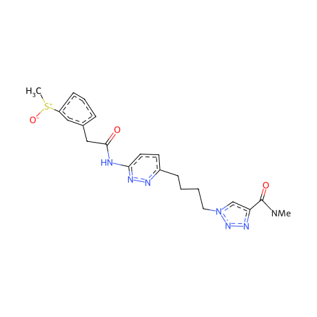 CNC(=O)c1cn(CCCCc2ccc(NC(=O)Cc3cccc([S+](C)[O-])c3)nn2)nn1